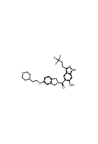 O=C(c1cc2c(CCC(F)(F)F)n[nH]c2cc1O)N1Cc2ccc(OCCN3CCOCC3)cc2C1